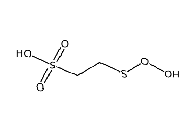 O=S(=O)(O)CCSOO